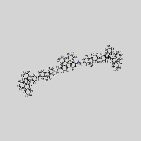 C=C1c2cc(/C=C/c3ccc4c(c3)C3(c5ccccc5-c5ccccc53)c3cc(/C=C/c5ccc6c(c5)C(C)(C)c5cc(-c7ccc8c(c7)c7ccccc7n8-c7cc8ccccc8c8ccccc78)ccc5-6)ccc3-4)ccc2-c2ccc(-c3ccc4c(c3)c3ccccc3n4-c3cc4ccccc4c4ccccc34)cc21